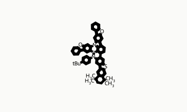 CC(C)(C)c1ccc(N2B3c4cc5c(cc4-n4c6cc7c(cc6c6ccc(c3c64)-c3cc4sc6cc8c(cc6c4cc32)C(C)(C)CCC8(C)C)oc2ccccc27)oc2ccccc25)cc1